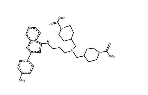 COc1ccc(-c2cc(NCCCN(CC3CCN(C(=O)OCC(C)C)CC3)CC3CCN(C(=O)OCC(C)C)CC3)c3ccccc3n2)cc1